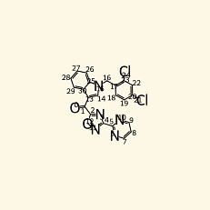 O=C(c1nc(-c2ncccn2)no1)c1cn(Cc2ccc(Cl)cc2Cl)c2ccccc12